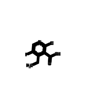 CCc1c(F)cnc(Cl)c1C(=O)O